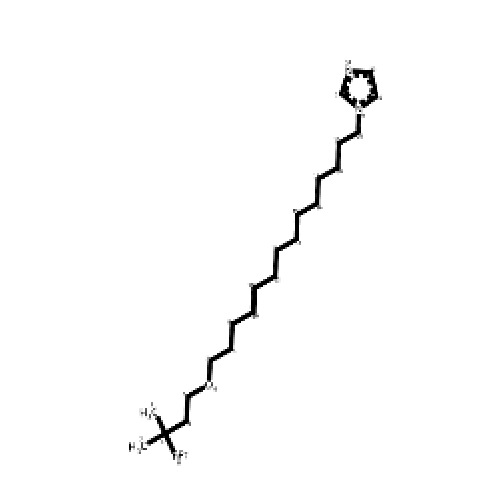 CCCC(C)(C)CCOCCCCCCCCCCCCCCn1ccnc1